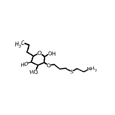 CCCC1OC(O)C(OCCCSCCN)C(O)C1O